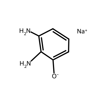 Nc1cccc([O-])c1N.[Na+]